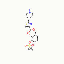 CS(=O)(=O)Oc1cccc2c1COC(c1csc(C3CCNCC3)n1)OC2